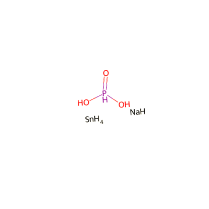 O=[PH](O)O.[NaH].[SnH4]